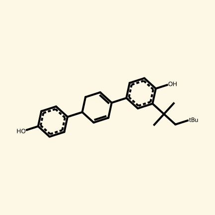 CC(C)(C)CC(C)(C)c1cc(C2=CCC(c3ccc(O)cc3)C=C2)ccc1O